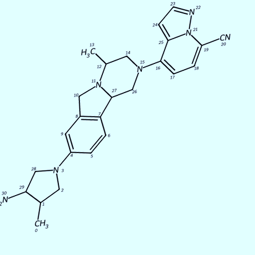 CC1CN(c2ccc3c(c2)CN2C(C)CN(c4ccc(C#N)n5nccc45)CC32)CC1N